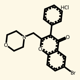 Cl.O=c1c(-c2ccccc2)c(CN2CCOCC2)oc2ccc(Br)cc12